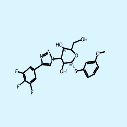 COc1cccc(S[C@H]2OC(CO)[C@H](O)C(n3cc(-c4cc(F)c(F)c(F)c4)nn3)C2O)c1